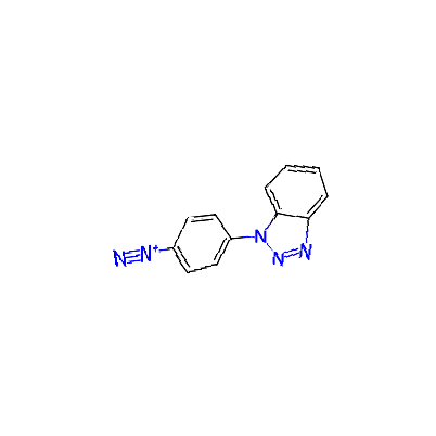 N#[N+]c1ccc(-n2nnc3ccccc32)cc1